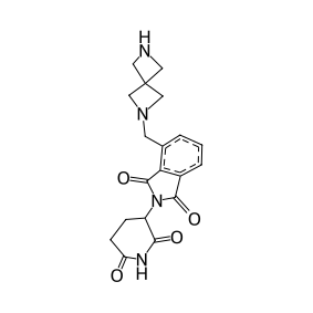 O=C1CCC(N2C(=O)c3cccc(CN4CC5(CNC5)C4)c3C2=O)C(=O)N1